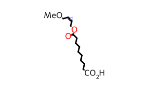 COC/C=C\COC(=O)CCCCCCCCC(=O)O